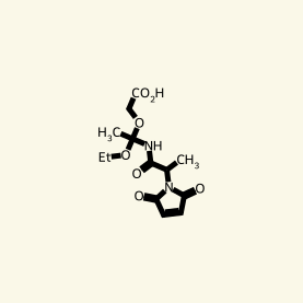 CCOC(C)(NC(=O)C(C)N1C(=O)C=CC1=O)OCC(=O)O